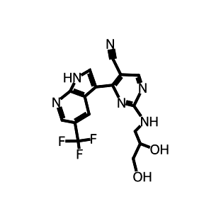 N#Cc1cnc(NCC(O)CO)nc1-c1c[nH]c2ncc(C(F)(F)F)cc12